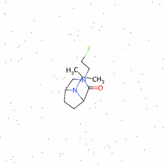 CC(C)N1C2CCC1C(=O)N(CCF)C2